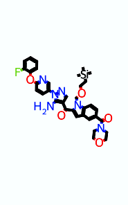 C[Si](C)(C)CCOCn1c(C(=O)c2cnn(-c3ccc(Oc4ccccc4F)nc3)c2N)cc2cc(C(=O)N3CCOCC3)ccc21